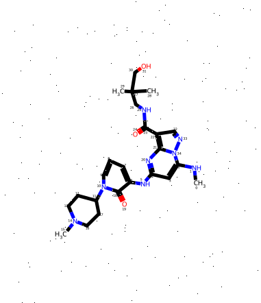 CNc1cc(Nc2cccn(C3CCN(C)CC3)c2=O)nc2c(C(=O)NCC(C)(C)CO)cnn12